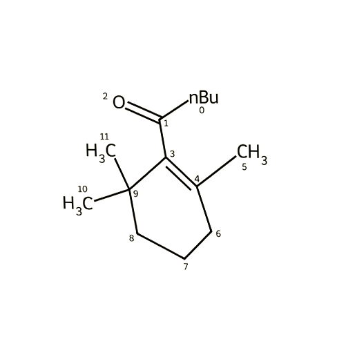 CCCCC(=O)C1=C(C)CCCC1(C)C